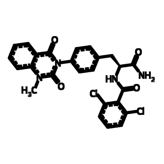 Cn1c(=O)n(-c2ccc(C[C@H](NC(=O)c3c(Cl)cccc3Cl)C(N)=O)cc2)c(=O)c2ccccc21